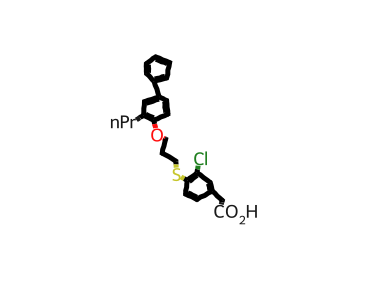 CCCc1cc(-c2ccccc2)ccc1OCCCSc1ccc(CC(=O)O)cc1Cl